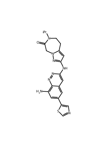 CC(C)N1CCc2cc(Nc3cc4cc(-c5cncs5)cc(N)c4nn3)nn2CC1=O